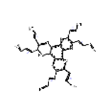 N#C/C=C/C1=Nc2c(c3nc(/C=C/C=N)c(/C=C/C#N)nc3c3nc(/C=C/C=N)c(/C=C/C#N)nc23)NC1/C=C/C=N